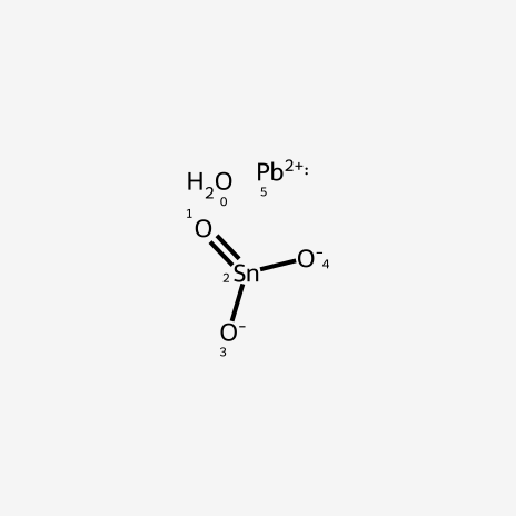 O.[O]=[Sn]([O-])[O-].[Pb+2]